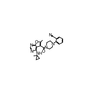 Cc1oc2ncnc(NC3(C)CC3)c2c1C(=O)N1CCN(c2ccccc2C#N)CC1